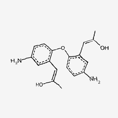 CC(O)=Cc1cc(N)ccc1Oc1ccc(N)cc1C=C(C)O